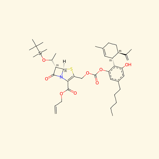 C=CCOC(=O)C1=C(COC(=O)Oc2cc(CCCCC)cc(O)c2[C@@H]2C=C(C)CC[C@H]2C(=C)C)S[C@@H]2[C@@H](C(C)O[Si](C)(C)C(C)(C)C)C(=O)N12